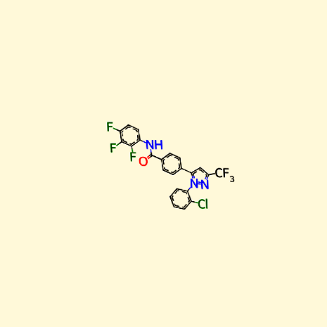 O=C(Nc1ccc(F)c(F)c1F)c1ccc(-c2cc(C(F)(F)F)nn2-c2ccccc2Cl)cc1